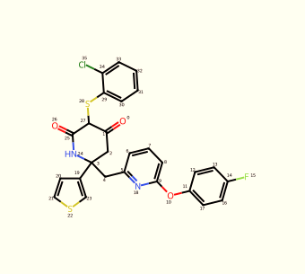 O=C1CC(Cc2cccc(Oc3ccc(F)cc3)n2)(c2ccsc2)NC(=O)C1Sc1ccccc1Cl